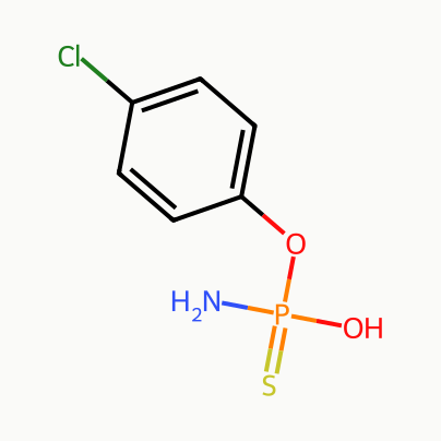 NP(O)(=S)Oc1ccc(Cl)cc1